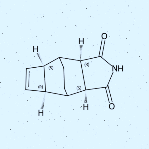 O=C1NC(=O)[C@H]2C3CCC([C@@H]12)[C@@H]1C=C[C@H]31